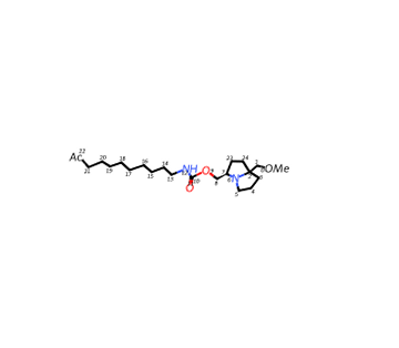 COCC12CCCN1[C@@H](COC(=O)NCCCCCCCCCC(C)=O)CC2